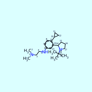 CN(C)CCNc1ccc(C2CC2)c(C2CCCN2C(C)(C)C)c1